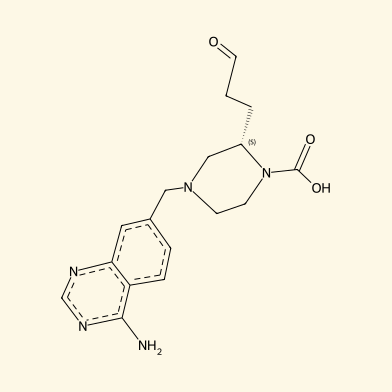 Nc1ncnc2cc(CN3CCN(C(=O)O)[C@@H](CCC=O)C3)ccc12